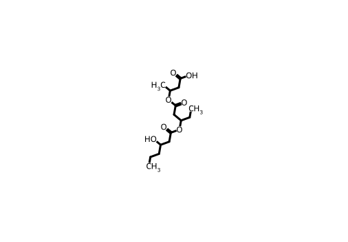 CCCC(O)CC(=O)OC(CC)CC(=O)OC(C)CC(=O)O